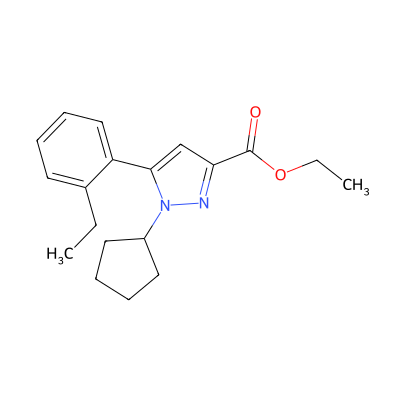 CCOC(=O)c1cc(-c2ccccc2CC)n(C2CCCC2)n1